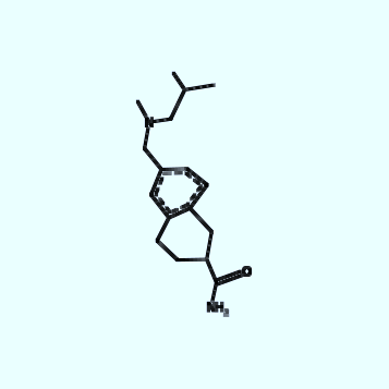 CC(C)CN(C)Cc1ccc2c(c1)CCC(C(N)=O)C2